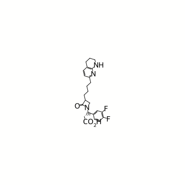 O=C(O)C[C@@H](c1ccc(F)c(F)c1)N1CC(CCCCc2ccc3c(n2)NCCC3)C1=O